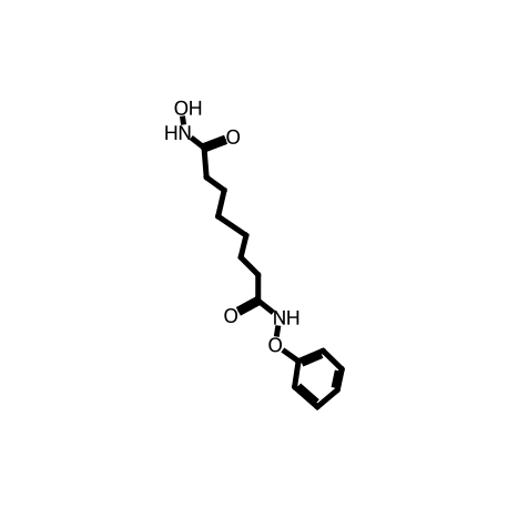 O=C(CCCCCCC(=O)NOc1ccccc1)NO